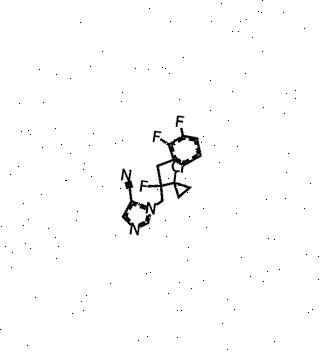 N#Cc1cncn1CC(F)(Cc1cccc(F)c1F)C1(Cl)CC1